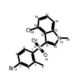 Cc1cc(Br)ccc1S(=O)(=O)c1cn(C)c2cccc(Cl)c12